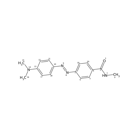 CNC(=O)c1ccc(/N=N/c2ccc(N(C)C)cc2)cc1